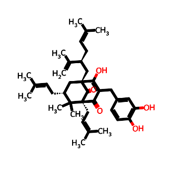 C=C(C)[C@@H](CC=C(C)C)C[C@@]12C[C@@H](CC=C(C)C)C(C)(C)[C@](CC=C(C)C)(C(=O)C(Cc3ccc(O)c(O)c3)=C1O)C2=O